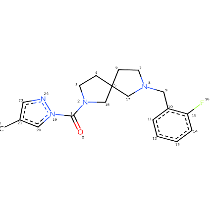 O=C(N1CCC2(CCN(Cc3ccccc3F)C2)C1)n1cc(C(F)(F)F)cn1